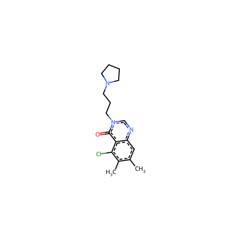 Cc1cc2ncn(CCCN3CCCC3)c(=O)c2c(Cl)c1C